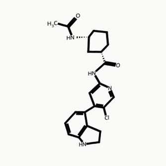 CC(=O)N[C@@H]1CCC[C@H](C(=O)Nc2cc(-c3cccc4c3CCN4)c(Cl)cn2)C1